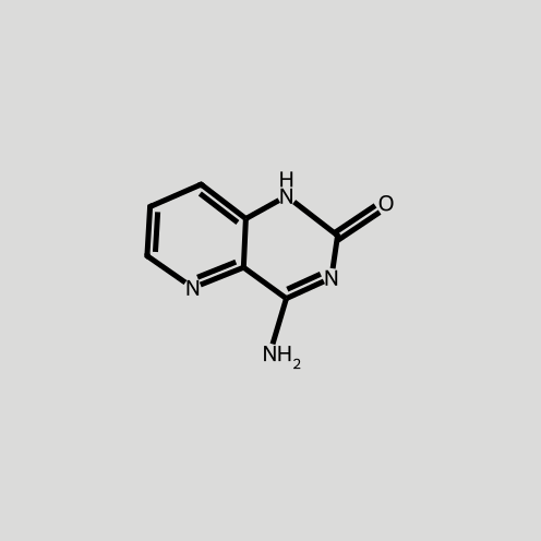 Nc1nc(=O)[nH]c2cccnc12